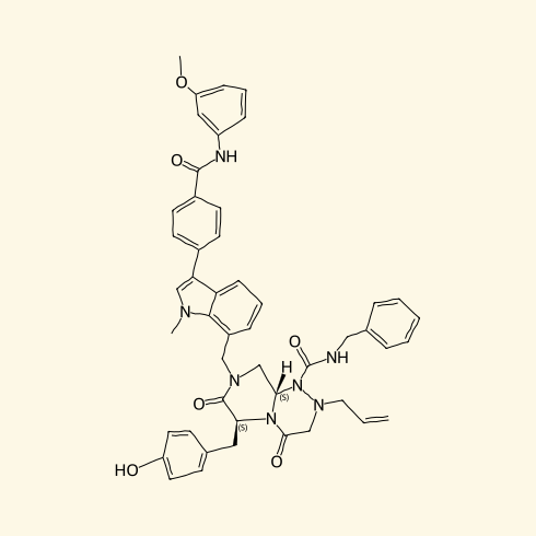 C=CCN1CC(=O)N2[C@@H](Cc3ccc(O)cc3)C(=O)N(Cc3cccc4c(-c5ccc(C(=O)Nc6cccc(OC)c6)cc5)cn(C)c34)C[C@@H]2N1C(=O)NCc1ccccc1